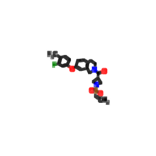 C=CS(=O)(=O)N1CC(C(=O)N2CCc3ccc(Oc4ccc(C(F)(F)F)c(F)c4)cc3C2)C1